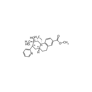 CC[C@@]12C[C@@](C)(O)[C@](O)(c3ccccn3)C[C@H]1CCc1cc(C(=O)OC)ccc12